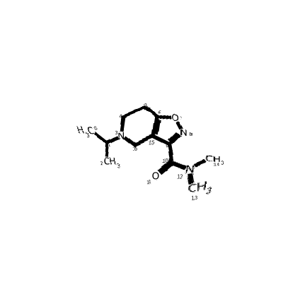 CC(C)N1CCc2onc(C(=O)N(C)C)c2C1